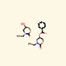 N#CCN1CC(O)CSC1=O.N#CCN1CC(SC(=O)c2ccccc2)CSC1=O